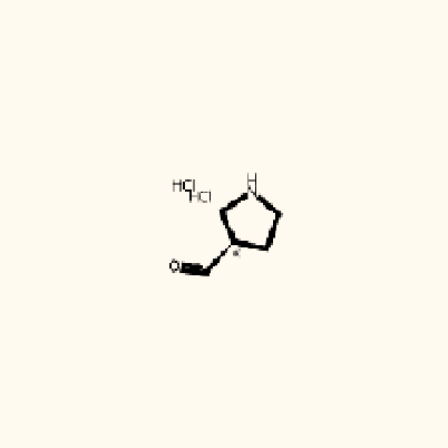 Cl.Cl.O=C[C@@H]1CCNC1